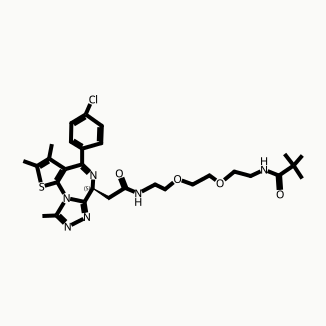 Cc1sc2c(c1C)C(c1ccc(Cl)cc1)=N[C@@H](CC(=O)NCCOCCOCCNC(=O)C(C)(C)C)c1nnc(C)n1-2